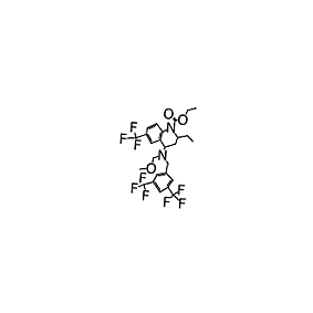 CCOC(=O)N1c2ccc(C(F)(F)F)cc2C(N(COC)Cc2cc(C(F)(F)F)cc(C(F)(F)F)c2)CC1CC